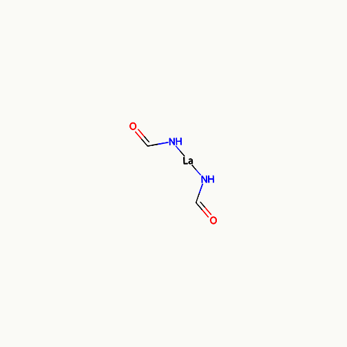 O=C[NH][La][NH]C=O